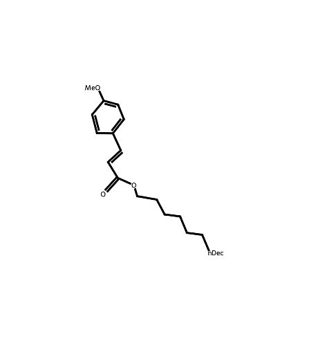 CCCCCCCCCCCCCCCCOC(=O)C=Cc1ccc(OC)cc1